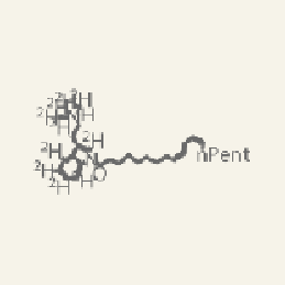 [2H]c1c([2H])c([2H])c2c(c1[2H])c(CCN(C([2H])([2H])[2H])C([2H])([2H])[2H])c([2H])n2C(=O)CCCCCCC/C=C\C/C=C\CCCCC